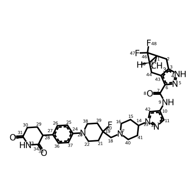 C[C@@]12Cc3[nH]nc(C(=O)Nc4cnn(C5CCN(CC6(F)CCN(c7ccc(C8CCC(=O)NC8=O)cc7)CC6)CC5)c4)c3C[C@@H]1C2(F)F